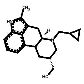 Cc1[nH]c2cccc3c2c1C[C@@H]1C3C[C@@H](CO)CN1CC1CC1